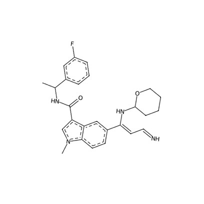 CC(NC(=O)c1cn(C)c2ccc(/C(=C/C=N)NC3CCCCO3)cc12)c1cccc(F)c1